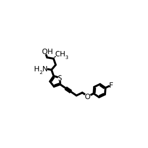 C[C@@H](CO)CC(N)c1ccc(C#CCCOc2ccc(F)cc2)s1